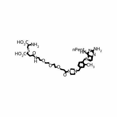 CCCCCNc1nc(N)nc2ccn(Cc3ccc(CN4CCN(C(=O)CCOCCOCCOCCNC(=O)C[C@@H](SC[C@H](N)C(=O)O)C(=O)O)CC4)cc3C)c12